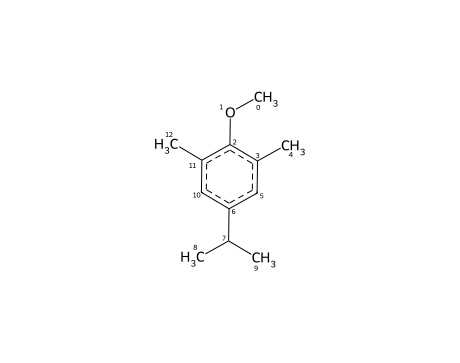 COc1c(C)cc(C(C)C)cc1C